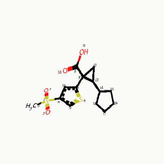 CS(=O)(=O)c1csc(C2(C(=O)O)CC2C2CCCC2)c1